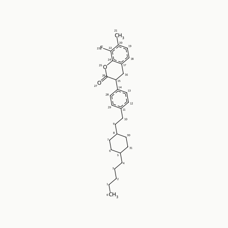 CCCCCC1CCC(CCc2ccc(C3Cc4ccc(C)c(F)c4OC3=O)cc2)CC1